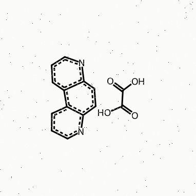 O=C(O)C(=O)O.c1cnc2ccc3ncccc3c2c1